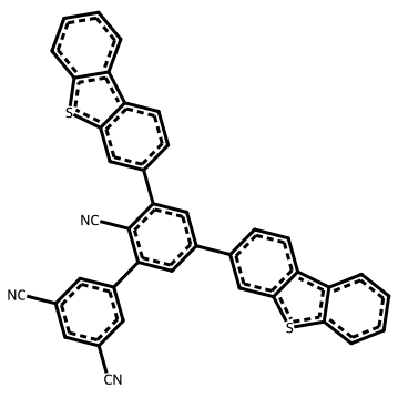 N#Cc1cc(C#N)cc(-c2cc(-c3ccc4c(c3)sc3ccccc34)cc(-c3ccc4c(c3)sc3ccccc34)c2C#N)c1